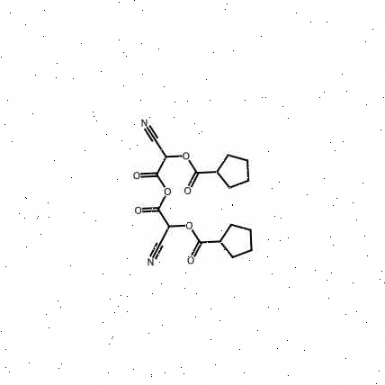 N#CC(OC(=O)C1CCCC1)C(=O)OC(=O)C(C#N)OC(=O)C1CCCC1